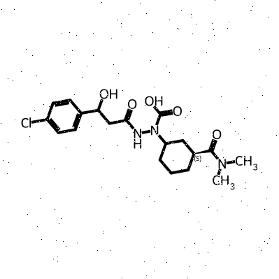 CN(C)C(=O)[C@H]1CCCC(N(NC(=O)CC(O)c2ccc(Cl)cc2)C(=O)O)C1